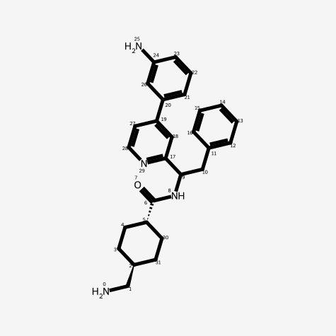 NC[C@H]1CC[C@H](C(=O)NC(Cc2ccccc2)c2cc(-c3cccc(N)c3)ccn2)CC1